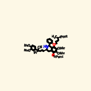 CCCCCOc1c2c(c(OCCC[C@@H](C)C(C)CCC)c(OC)c1OC)C(c1ccccc1)N[C@H](CCCC(C#N)(c1ccc(OC)c(OC)c1)C(C)C)C2